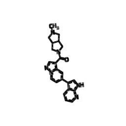 CN1CC2CN(C(=O)c3cnn4ccc(-c5c[nH]c6ncccc56)cc34)CC2C1